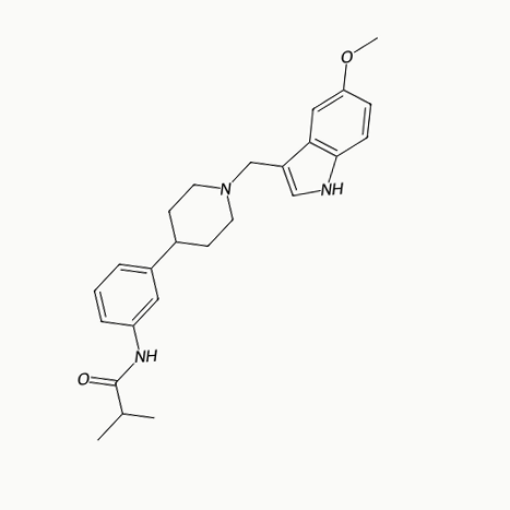 COc1ccc2[nH]cc(CN3CCC(c4cccc(NC(=O)C(C)C)c4)CC3)c2c1